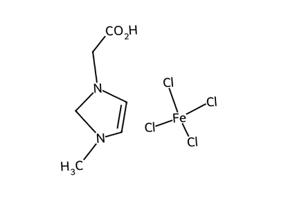 CN1C=CN(CC(=O)O)C1.[Cl][Fe]([Cl])([Cl])[Cl]